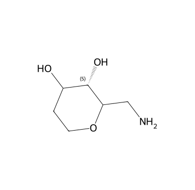 NCC1OCCC(O)[C@@H]1O